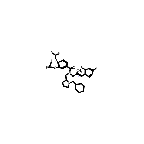 C/C(=C\c1ccc(F)cc1F)CN(CC1CCCN1CC1CCCCC1)C(=O)c1ccc(OC(F)F)c(OC(F)F)c1